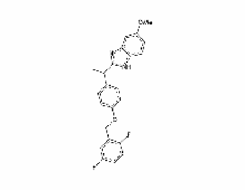 COc1ccc2[nH]c(C(C)c3ccc(OCc4cc(F)ccc4F)cc3)nc2c1